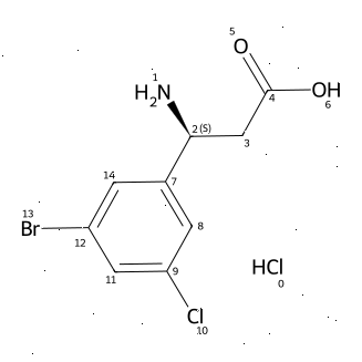 Cl.N[C@@H](CC(=O)O)c1cc(Cl)cc(Br)c1